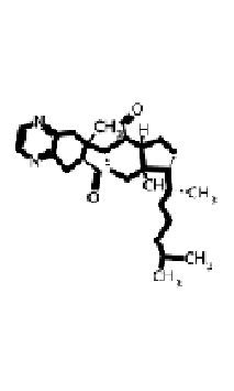 CC(C)CCC[C@@H](C)[C@H]1CC[C@H]2[C@H](C=O)[C@@H]([C@@]3(C)Cc4nccnc4C[C@@H]3C=O)CC[C@]12C